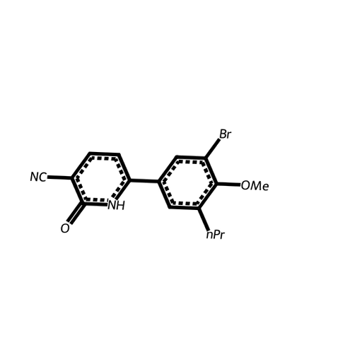 CCCc1cc(-c2ccc(C#N)c(=O)[nH]2)cc(Br)c1OC